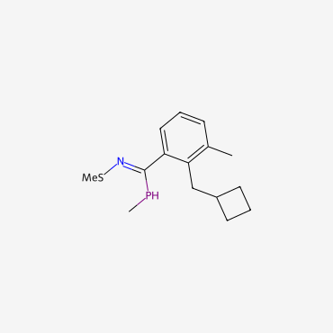 CPC(=NSC)c1cccc(C)c1CC1CCC1